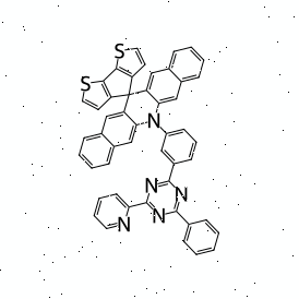 c1ccc(-c2nc(-c3cccc(N4c5cc6ccccc6cc5C5(c6cc7ccccc7cc64)c4ccsc4-c4sccc45)c3)nc(-c3ccccn3)n2)cc1